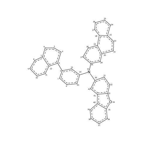 c1cc(-c2cccc3ccccc23)cc(N(c2ccc3c(ccc4ccccc43)c2)c2ccc3oc4ccccc4c3c2)c1